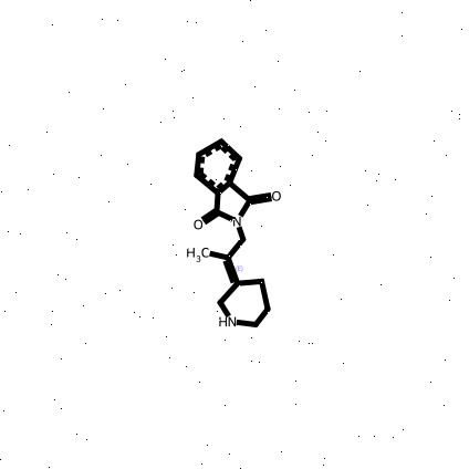 C/C(CN1C(=O)c2ccccc2C1=O)=C1/CCCNC1